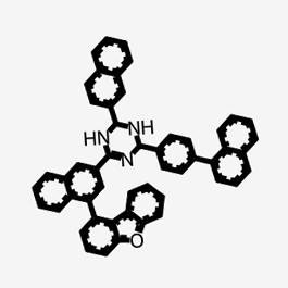 c1ccc2cc(C3NC(c4cc(-c5cccc6oc7ccccc7c56)c5ccccc5c4)=NC(c4ccc(-c5cccc6ccccc56)cc4)N3)ccc2c1